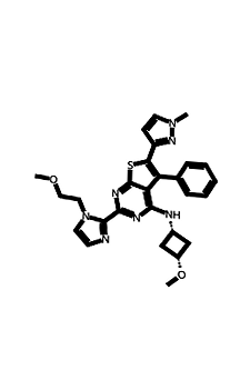 COCCn1ccnc1-c1nc(N[C@H]2C[C@@H](OC)C2)c2c(-c3ccccc3)c(-c3ccn(C)n3)sc2n1